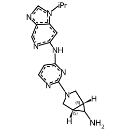 CC(C)n1cnc2cnc(Nc3ccnc(N4C[C@@H]5C(N)[C@@H]5C4)n3)cc21